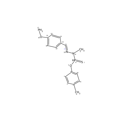 Cc1ccc(O[PH](=S)N(C)/N=C/c2ccc(OP)cc2)cc1